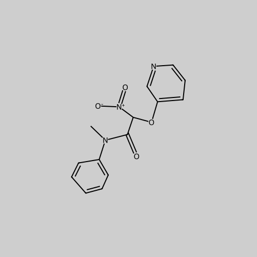 CN(C(=O)C(Oc1cccnc1)[N+](=O)[O-])c1ccccc1